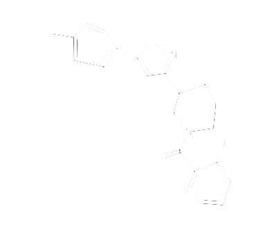 O=C(c1ccccc1F)N1CCCC(c2cc(-c3ccc(F)cc3)on2)C1